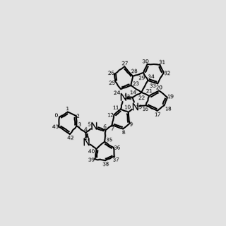 c1ccc(-c2nc(-c3ccc4c(c3)nc3n4-c4ccccc4C34c3ccccc3-c3ccccc34)c3ccccc3n2)cc1